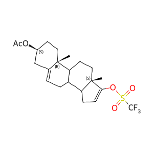 CC(=O)O[C@H]1CC[C@@]2(C)C(=CCC3C2CC[C@]2(C)C(OS(=O)(=O)C(F)(F)F)=CCC32)C1